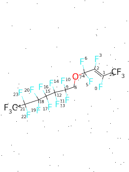 FC(=C(F)C(F)(F)OCC(F)(F)C(F)(F)C(F)(F)C(F)(F)C(F)(F)C(F)(F)F)C(F)(F)F